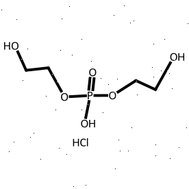 Cl.O=P(O)(OCCO)OCCO